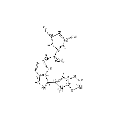 CC(Oc1ccc2[nH]nc(-c3nc4c([nH]3)CNCC4)c2c1)c1cc(F)cc(F)c1